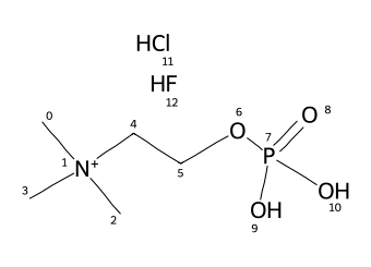 C[N+](C)(C)CCOP(=O)(O)O.Cl.F